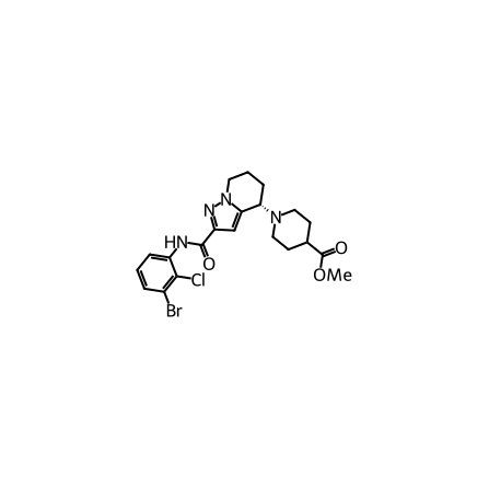 COC(=O)C1CCN([C@H]2CCCn3nc(C(=O)Nc4cccc(Br)c4Cl)cc32)CC1